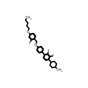 CCCCCOc1ccc(COc2ccc(-c3ccc(C4CCC(C)CC4)c(F)c3F)cc2)c(F)c1